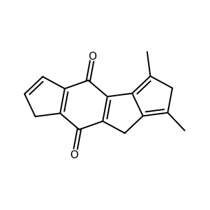 CC1=C2CC3=C(C(=O)C4=C(CC=C4)C3=O)C2=C(C)C1